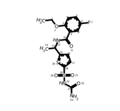 CCOc1ccc(F)cc1C(=O)NC(C)c1ccc(S(=O)(=O)NC(N)=O)s1